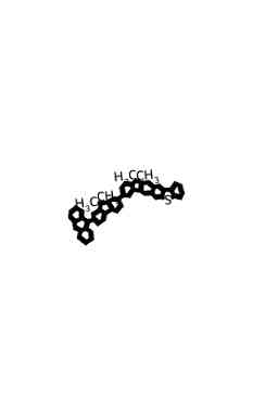 CC1(C)c2cc(-c3ccc4c(c3)-c3cc5cc6sc7ccccc7c6cc5cc3C4(C)C)ccc2-c2ccc(-c3c4ccccc4cc4ccccc34)cc21